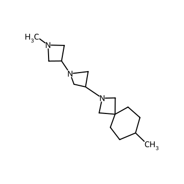 CC1CCC2(CC1)CN(C1CN(C3CN(C)C3)C1)C2